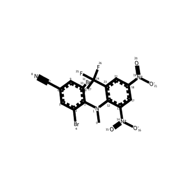 CN(c1c(Br)cc(C#N)cc1Br)c1c([N+](=O)[O-])cc([N+](=O)[O-])cc1C(F)(F)F